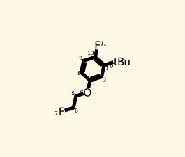 CC(C)(C)c1cc(OCCF)ccc1F